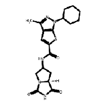 Cc1nn(C2CCCCC2)c2sc(C(=O)NC3C[C@H]4C(=O)NC(=O)N4C3)cc12